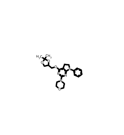 CC1(C)OCC(COc2nc(N3CCOCC3)nc3c2CCN3c2ccccc2)O1